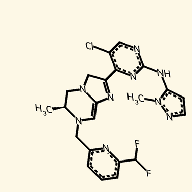 C[C@H]1CN2CC(c3nc(Nc4ccnn4C)ncc3Cl)=NC2=CN1Cc1cccc(C(F)F)n1